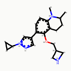 CC1CCc2c(ccc(-c3cnn(C4CC4)c3)c2OCC2CNC2)N1C